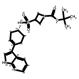 CC(C)(C)OC(=O)N1CC(S(=O)(=O)N[C@H]2CC=C(c3c[nH]c4ncccc34)CC2)C1